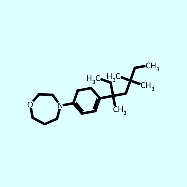 CCC(C)(C)CC(C)(CC)C1=CC=C(N2CCCOCC2)CC1